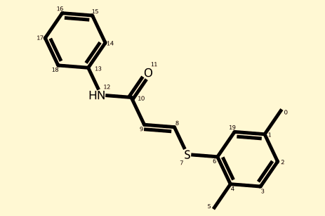 Cc1ccc(C)c(SC=CC(=O)Nc2ccccc2)c1